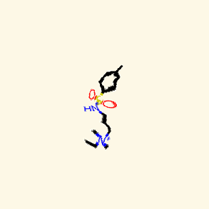 CC[N+](C)(C)CCCNS(=O)(=O)c1ccc(C)cc1